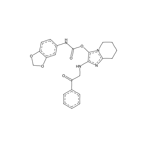 O=C(Nc1ccc2c(c1)OCO2)Oc1c(NCC(=O)c2ccccc2)nc2n1CCCC2